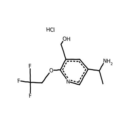 CC(N)c1cnc(OCC(F)(F)F)c(CO)c1.Cl